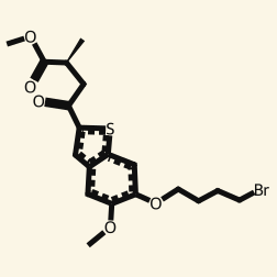 COC(=O)[C@@H](C)CC(=O)c1cc2cc(OC)c(OCCCCBr)cc2s1